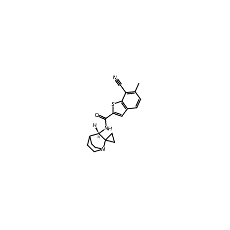 Cc1ccc2cc(C(=O)N[C@H]3C4CCN(CC4)C34CC4)sc2c1C#N